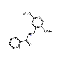 COc1ccc(OC)c(/C=C/C(=O)c2ccccn2)c1